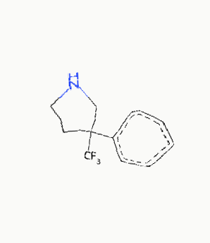 FC(F)(F)C1(c2ccccc2)CCNC1